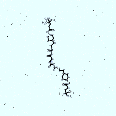 CC(C)(N)CCC(=O)ON1CCC(CCO[N+](=O)OC(=O)/C=C/C(=O)O[N+](=O)OCCC2CCN(OC(=O)CCC(C)(C)N)CC2)CC1